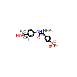 CCS(=O)(=O)c1ccc([C@@H](NC(C)=O)C(=O)Nc2ccc(C(O)(C(F)(F)F)C(F)(F)F)cc2)cc1